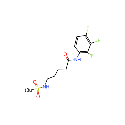 CC(C)(C)S(=O)(=O)NCCCCC(=O)Nc1ccc(F)c(F)c1F